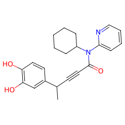 CC(C#CC(=O)N(c1ccccn1)C1CCCCC1)c1ccc(O)c(O)c1